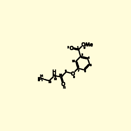 COC(=O)c1cccc(OCC(=O)NCC(C)C)c1